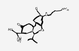 CC(C)[C@@H]1COc2cc(OCCCN)c(Cl)cc2-c2cc(=O)c(C(O)O)cn21